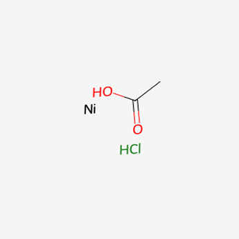 CC(=O)O.Cl.[Ni]